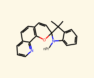 CCCN1c2ccccc2C(C)(C)C12C=Cc1ccc3cccnc3c1O2